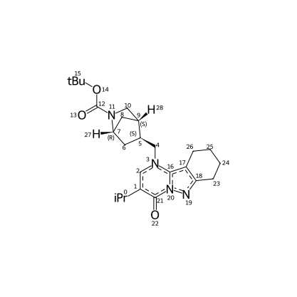 CC(C)c1cn(C[C@H]2C[C@H]3C[C@@H]2CN3C(=O)OC(C)(C)C)c2c3c(nn2c1=O)CCCC3